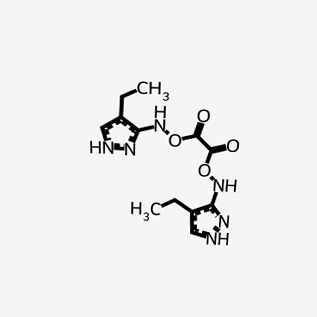 CCc1c[nH]nc1NOC(=O)C(=O)ONc1n[nH]cc1CC